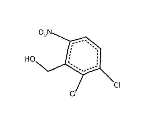 O=[N+]([O-])c1ccc(Cl)c(Cl)c1CO